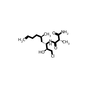 C=CCC[C@@H](C)C[C@H](NC(=O)[C@@H](C)C(N)=O)[C@H](O)CCl